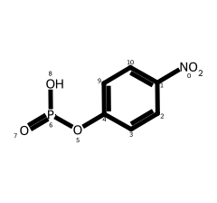 O=[N+]([O-])c1ccc(O[P](=O)O)cc1